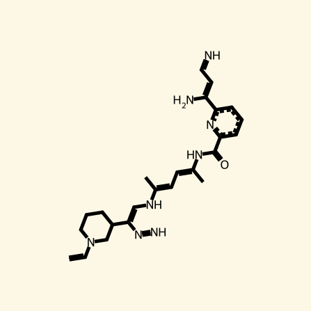 C=CN1CCCC(/C(=C/N/C(C)=C/C=C(\C)NC(=O)c2cccc(/C(N)=C/C=N)n2)N=N)C1